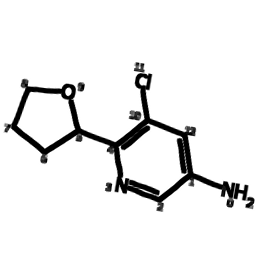 Nc1cnc(C2CCCO2)c(Cl)c1